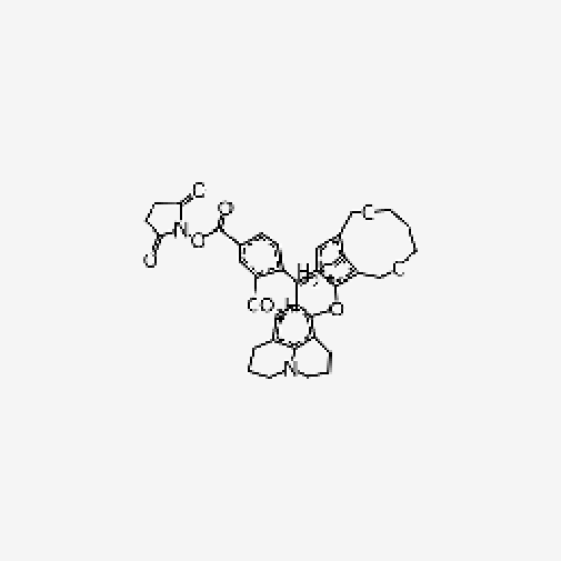 C=c1c2cc3c(c1CCCCCCC2)Oc1c(cc2c4c1CCCN4CCC2)C=3c1ccc(C(=O)ON2C(=O)CCC2=O)cc1C(=O)O